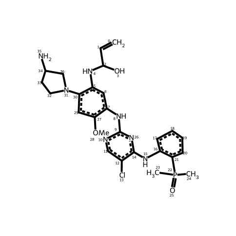 C=CC(O)Nc1cc(Nc2ncc(Cl)c(Nc3ccccc3P(C)(C)=O)n2)c(OC)cc1N1CCC(N)C1